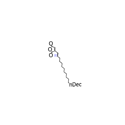 CCCCCCCCCCCCCCCCCCCC/C=C/C1=CC(=O)OC1=O